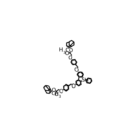 CC1(OC(=O)COc2ccc(COc3ccc4c(c3)-c3cc(OCc5ccc(OCC(=O)OC6(C)C7CC8CC(C7)CC6C8)cc5)ccc3[SH]4c3ccccc3)cc2)C2CC3CC(C2)CC1C3